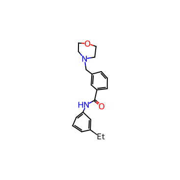 CCc1cccc(NC(=O)c2cccc(CN3CCOCC3)c2)c1